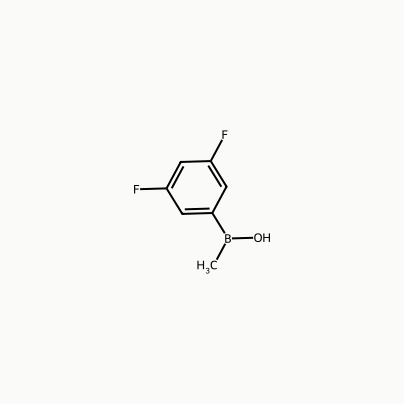 CB(O)c1cc(F)cc(F)c1